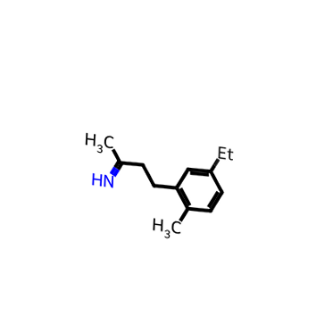 CCc1ccc(C)c(CCC(C)=N)c1